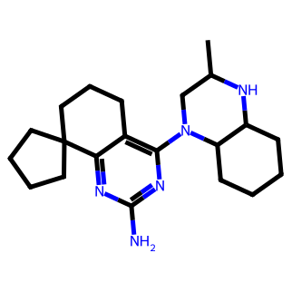 CC1CN(c2nc(N)nc3c2CCCC32CCCC2)C2CCCCC2N1